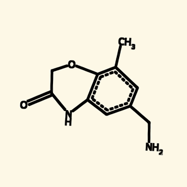 Cc1cc(CN)cc2c1OCC(=O)N2